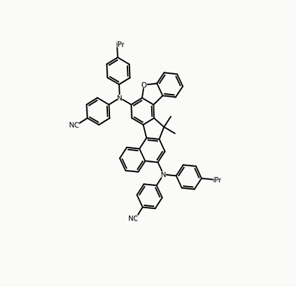 CC(C)c1ccc(N(c2ccc(C#N)cc2)c2cc3c(c4ccccc24)-c2cc(N(c4ccc(C#N)cc4)c4ccc(C(C)C)cc4)c4oc5ccccc5c4c2C3(C)C)cc1